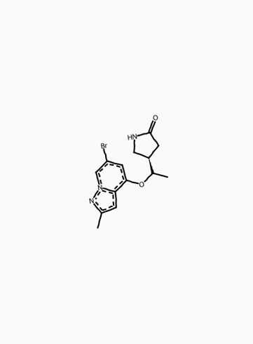 Cc1cc2c(OC(C)[C@H]3CNC(=O)C3)cc(Br)cn2n1